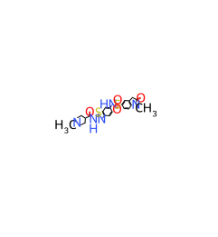 CN1CCC(C(=O)Nc2nc3ccc(NS(=O)(=O)c4ccc5c(c4)CC(=O)N5C)cc3s2)CC1